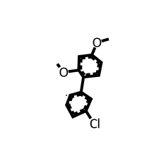 COc1ccc(-c2[c]ccc(Cl)c2)c(OC)c1